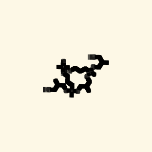 CC(CO)CO[Si](C)(CCCS)OCC(C)CO[Si](C)(CCCSP(C)(C)=O)OCC(C)CO